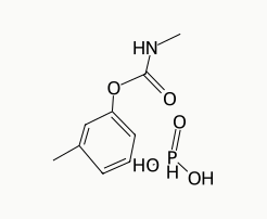 CNC(=O)Oc1cccc(C)c1.O=[PH](O)O